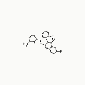 Cc1cccc(/C=C/c2nc3ccc(F)cc3c(=O)n2-c2ccccc2F)n1